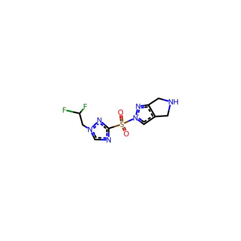 O=S(=O)(c1ncn(CC(F)F)n1)n1cc2c(n1)CNC2